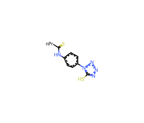 CCCC(=S)Nc1ccc(-n2nnnc2S)cc1